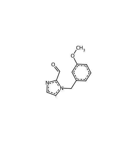 COc1cccc(Cn2[c]cnc2C=O)c1